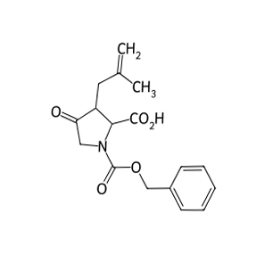 C=C(C)CC1C(=O)CN(C(=O)OCc2ccccc2)C1C(=O)O